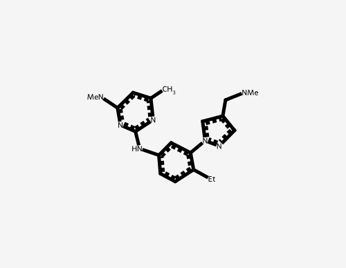 CCc1ccc(Nc2nc(C)cc(NC)n2)cc1-n1cc(CNC)cn1